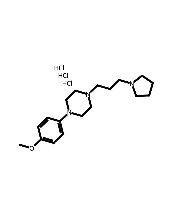 COc1ccc(N2CCN(CCCN3CCCC3)CC2)cc1.Cl.Cl.Cl